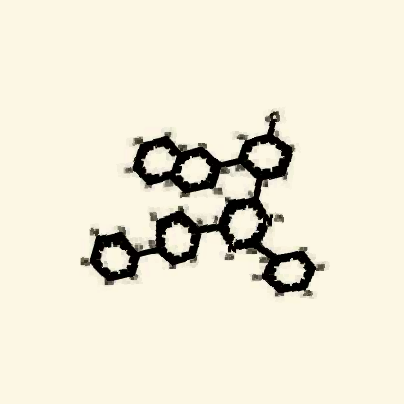 Clc1ccc(-c2cc(-c3ccc(-c4ccccc4)cc3)nc(-c3ccccc3)n2)c(-c2ccc3ccccc3c2)c1